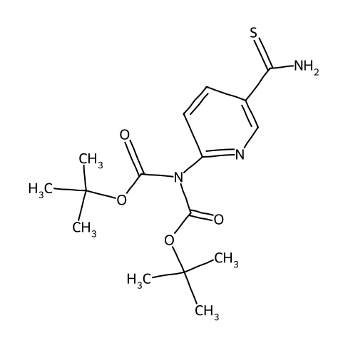 CC(C)(C)OC(=O)N(C(=O)OC(C)(C)C)c1ccc(C(N)=S)cn1